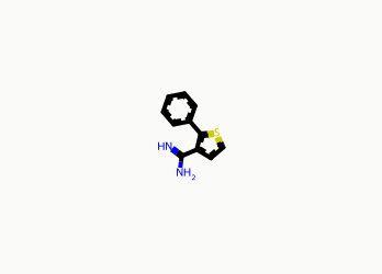 N=C(N)c1ccsc1-c1ccccc1